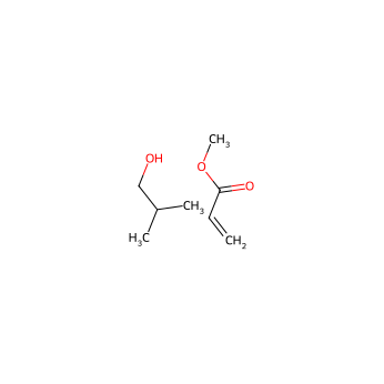 C=CC(=O)OC.CC(C)CO